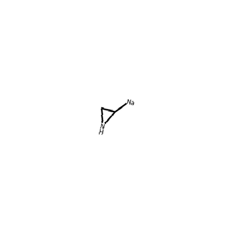 [Na][CH]1CN1